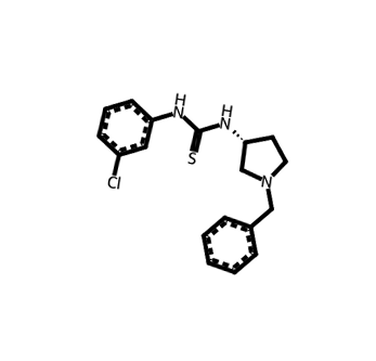 S=C(Nc1cccc(Cl)c1)N[C@@H]1CCN(Cc2ccccc2)C1